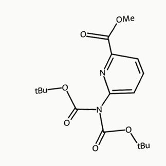 COC(=O)c1cccc(N(C(=O)OC(C)(C)C)C(=O)OC(C)(C)C)n1